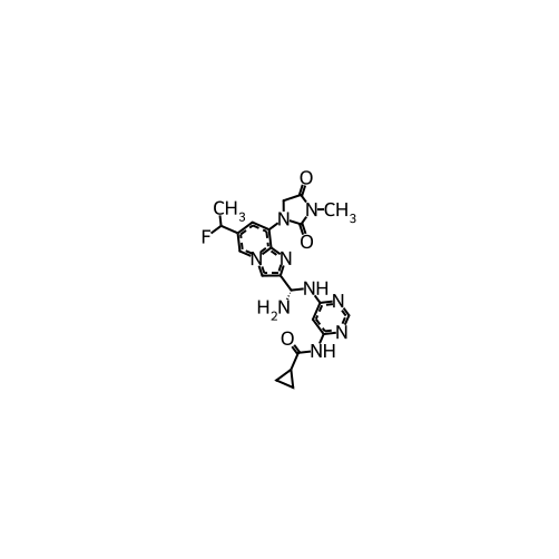 CC(F)c1cc(N2CC(=O)N(C)C2=O)c2nc([C@@H](N)Nc3cc(NC(=O)C4CC4)ncn3)cn2c1